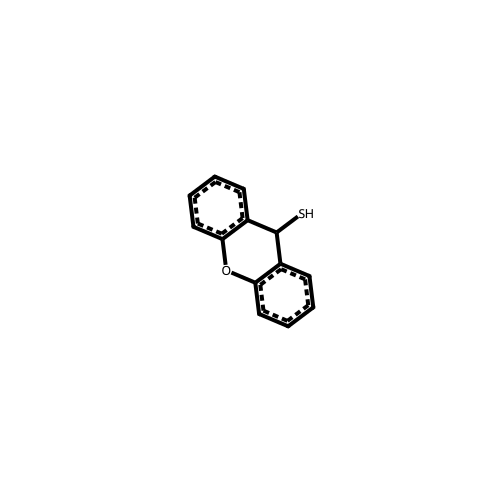 SC1c2ccccc2Oc2ccccc21